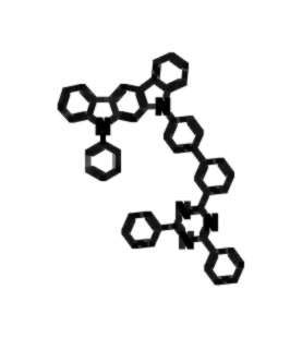 c1ccc(-c2nc(-c3ccccc3)nc(-c3cccc(-c4ccc(-n5c6ccccc6c6cc7c8ccccc8n(-c8ccccc8)c7cc65)cc4)c3)n2)cc1